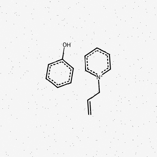 C=CC[n+]1ccccc1.Oc1ccccc1